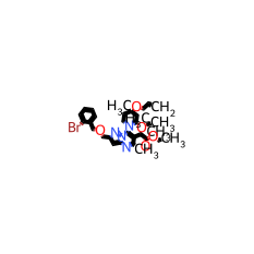 C=CCOC1(C)CCN(c2c([C@H](OC(C)(C)C)C(=O)OCC)c(C)nc3cc(COCc4ccccc4Br)nn23)CC1